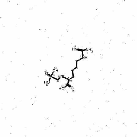 N=C(N)NCCCC[C@H](NCP(=O)(O)O)C(=O)O